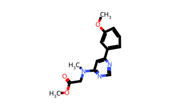 COC(=O)CN(C)c1cc(-c2cccc(OC)c2)ncn1